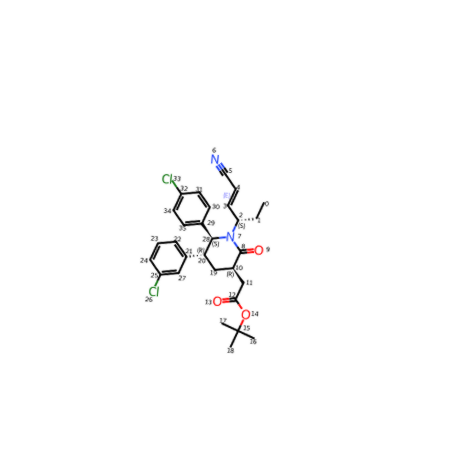 CC[C@@H](/C=C/C#N)N1C(=O)[C@@H](CC(=O)OC(C)(C)C)C[C@H](c2cccc(Cl)c2)[C@H]1c1ccc(Cl)cc1